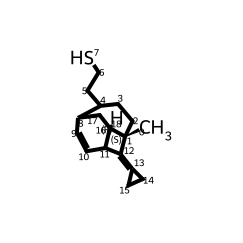 C[C@@]12CCC(CCS)C3C=CC(C1=C1CC1)[C@H]2C3